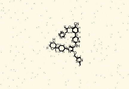 Cc1ncc(COc2nn(C3CCC([C@@]4(C)CNC[C@@H](C)O4)CC3)cc2Nc2ncc(-c3ccc(C#N)c(OC(C)Cn4cnnn4)c3)cn2)s1